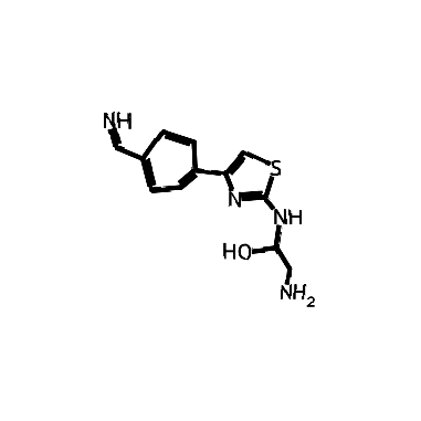 N=Cc1ccc(-c2csc(NC(O)CN)n2)cc1